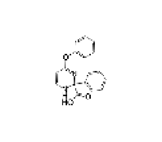 O=C(O)C1(c2ccccc2)N=C(Oc2ccccc2)C=CN1